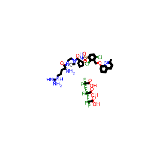 Cc1ccc2cccc(OCc3c(Cl)ccc(S(=O)(=O)NC4(C(=O)N5CCN(C(=O)[C@@H](N)CCCNC(=N)N)CC5)CCCC4)c3Cl)c2n1.O=C(O)C(F)(F)F.O=C(O)C(F)(F)F.O=C(O)C(F)(F)F